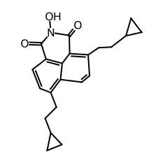 O=C1c2ccc(CCC3CC3)c3ccc(CCC4CC4)c(c23)C(=O)N1O